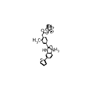 CCOP(=O)(OCC)OC(=O)Cc1ccc(C(=O)Nc2cc(-c3cccs3)ccc2N)cc1C